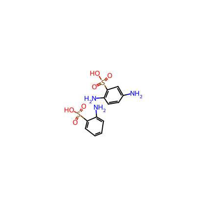 Nc1ccc(N)c(S(=O)(=O)O)c1.Nc1ccccc1S(=O)(=O)O